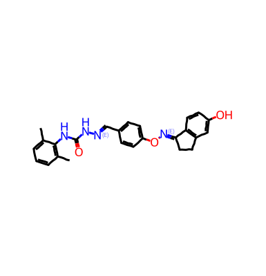 Cc1cccc(C)c1NC(=O)N/N=C/c1ccc(O/N=C2\CCc3cc(O)ccc32)cc1